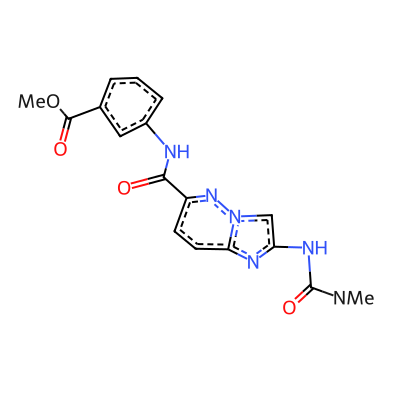 CNC(=O)Nc1cn2nc(C(=O)Nc3cccc(C(=O)OC)c3)ccc2n1